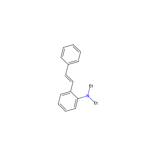 CCN(CC)c1ccccc1C=Cc1ccccc1